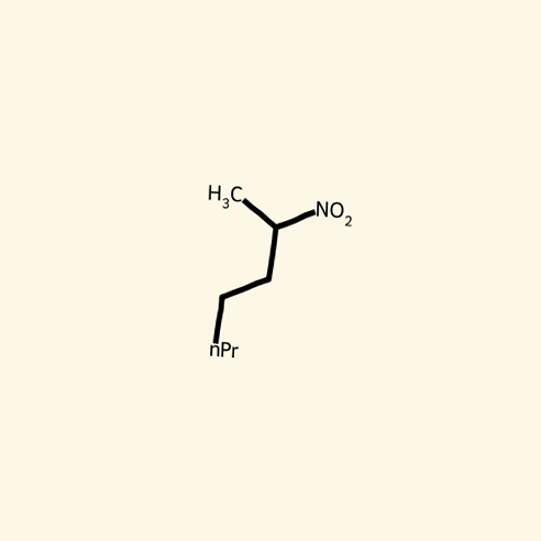 CCCCCC(C)[N+](=O)[O-]